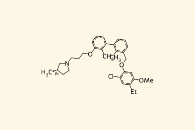 CCc1cc(Cl)c(OCc2cccc(-c3cccc(OCCCN4CC[C@@H](C)C4)c3C)c2C)cc1OC